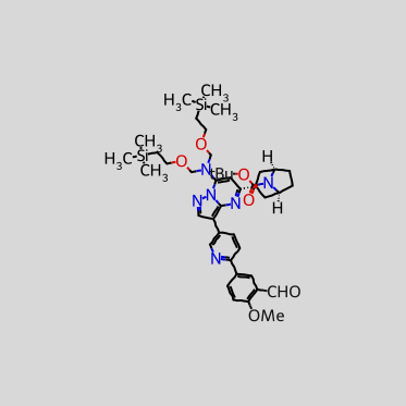 COc1ccc(-c2ccc(-c3cnn4c(N(COCC[Si](C)(C)C)COCC[Si](C)(C)C)cc([C@@H]5C[C@H]6CC[C@@H](C5)N6C(=O)OC(C)(C)C)nc34)cn2)cc1C=O